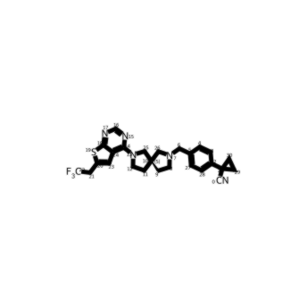 N#CC1(c2ccc(CN3CC[C@]4(CCN(c5ncnc6sc(CC(F)(F)F)cc56)C4)C3)cc2)CC1